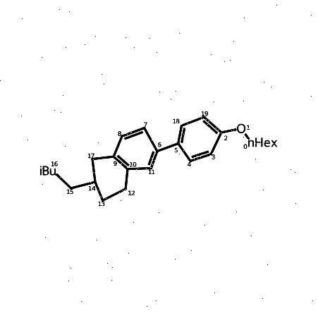 CCCCCCOc1ccc(-c2ccc3c(c2)CCC(CC(C)CC)C3)cc1